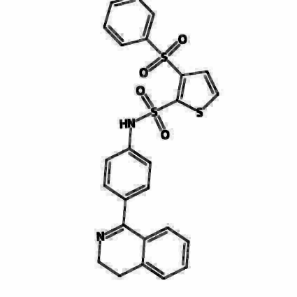 O=S(=O)(Nc1ccc(C2=NCCc3ccccc32)cc1)c1sccc1S(=O)(=O)c1ccccc1